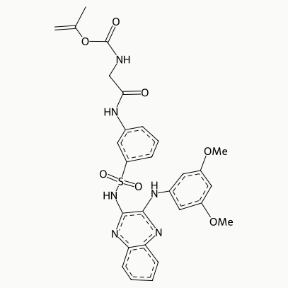 C=C(C)OC(=O)NCC(=O)Nc1cccc(S(=O)(=O)Nc2nc3ccccc3nc2Nc2cc(OC)cc(OC)c2)c1